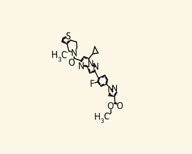 CCOC(=O)c1cnn(-c2ccc(-c3cc4nc(C(=O)N5CCc6sccc6[C@H]5C)cc(C5CC5)n4n3)c(F)c2)c1